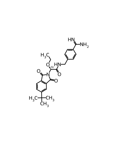 CCO[C@@H](C(=O)NCc1ccc(C(=N)N)cc1)N1C(=O)c2ccc(C(C)(C)C)cc2C1=O